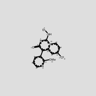 CCNc1nc(=O)c(-c2cccnc2OC)c2cc(C(F)(F)F)ccn12